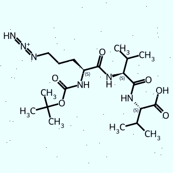 CC(C)[C@H](NC(=O)[C@@H](NC(=O)[C@H](CCCN=[N+]=N)NC(=O)OC(C)(C)C)C(C)C)C(=O)O